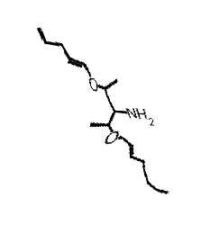 CCC/C=C/OC(C)C(N)C(C)O/C=C/CCC